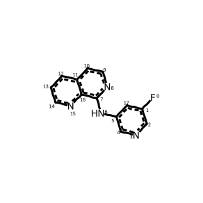 Fc1cncc(Nc2nccc3cccnc23)c1